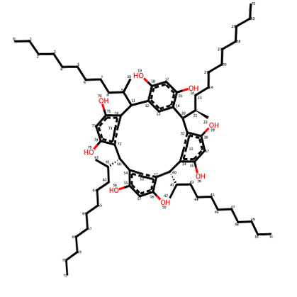 CCCCCCCCCC(C)C1c2cc(c(O)cc2O)C([C@H](C)CCCCCCCCC)c2cc(c(O)cc2O)[C@H](C(C)CCCCCCCCC)c2cc(c(O)cc2O)[C@H](C(C)CCCCCCCCC)c2cc1c(O)cc2O